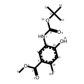 COC(=O)c1cc(NC(=O)OC(C)(C)C)c(O)cc1F